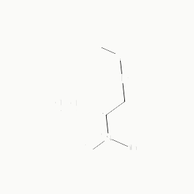 CCC[O][Ti+2][CH2]CN(C(C)C)C(C)C.[Cl-].[Cl-]